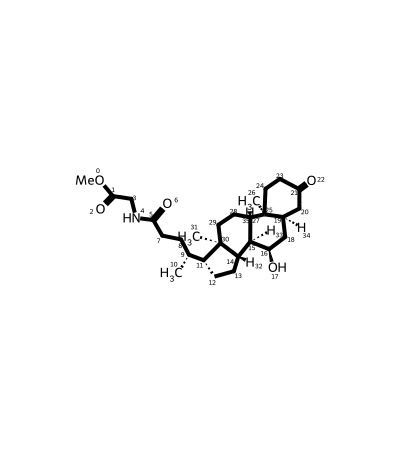 COC(=O)CNC(=O)CC[C@@H](C)[C@H]1CC[C@H]2[C@@H]3[C@H](O)C[C@@H]4CC(=O)CC[C@]4(C)[C@H]3CC[C@]12C